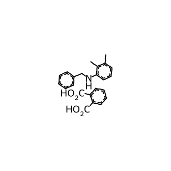 Cc1cccc(NCc2ccccc2)c1C.O=C(O)c1ccccc1C(=O)O